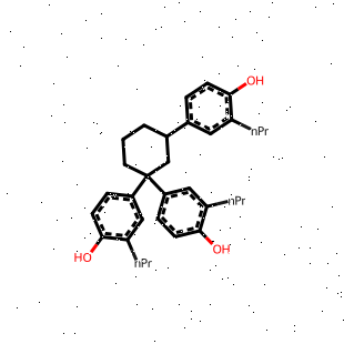 CCCc1cc(C2CCCC(c3ccc(O)c(CCC)c3)(c3ccc(O)c(CCC)c3)C2)ccc1O